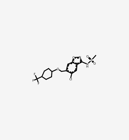 CS(=O)(=O)Nc1noc2cc(COC3CCC(C(F)(F)F)CC3)c(Cl)cc12